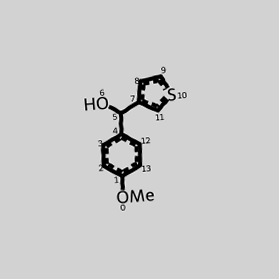 COc1ccc(C(O)c2ccsc2)cc1